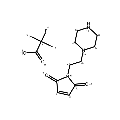 O=C(O)C(F)(F)F.O=C1C=CC(=O)N1CCN1CCNCC1